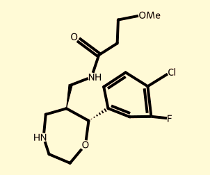 COCCC(=O)NC[C@@H]1CNCCO[C@H]1c1ccc(Cl)c(F)c1